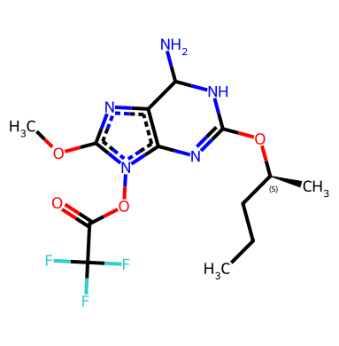 CCC[C@H](C)OC1=Nc2c(nc(OC)n2OC(=O)C(F)(F)F)C(N)N1